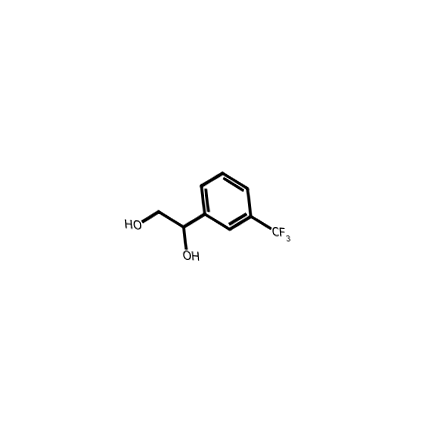 OCC(O)c1cccc(C(F)(F)F)c1